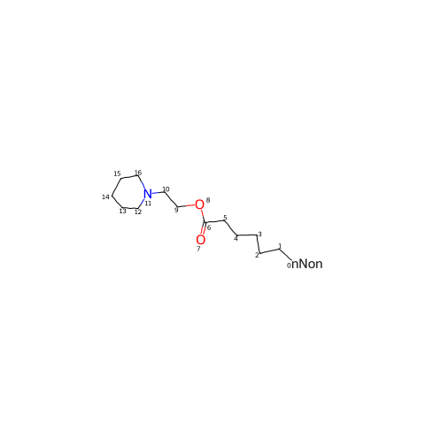 CCCCCCCCCCCCCCC(=O)OCCN1CCCCC1